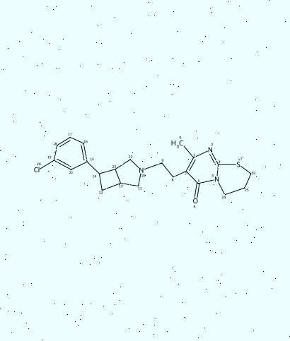 Cc1nc2n(c(=O)c1CCN1CC3CC(c4cccc(Cl)c4)C3C1)CCCS2